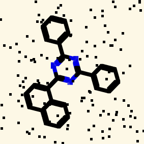 c1ccc(-c2nc(-c3ccccc3)nc(-c3cccc4ccccc34)n2)cc1